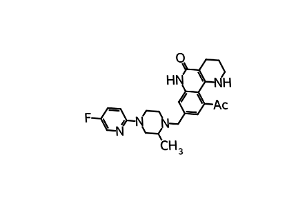 CC(=O)c1cc(CN2CCN(c3ccc(F)cn3)CC2C)cc2[nH]c(=O)c3c(c12)NCCC3